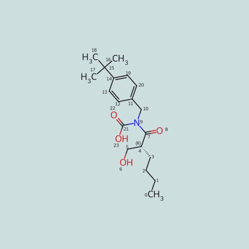 CCCC[C@H](CO)C(=O)N(Cc1ccc(C(C)(C)C)cc1)C(=O)O